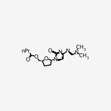 CCCC(=O)OC[C@@H]1CC[C@H](n2ccc(N=CN(C)C)nc2=O)O1